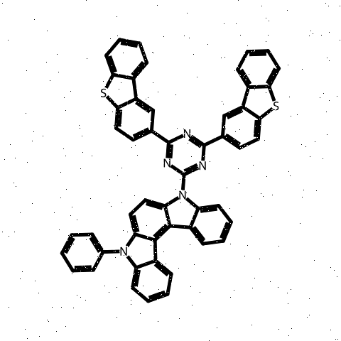 c1ccc(-n2c3ccccc3c3c4c5ccccc5n(-c5nc(-c6ccc7sc8ccccc8c7c6)nc(-c6ccc7sc8ccccc8c7c6)n5)c4ccc32)cc1